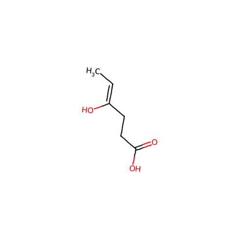 C/C=C(\O)CCC(=O)O